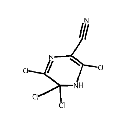 N#CC1=C(Cl)NC(Cl)(Cl)C(Cl)=N1